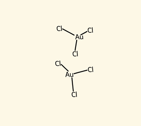 [Cl][Au]([Cl])[Cl].[Cl][Au]([Cl])[Cl]